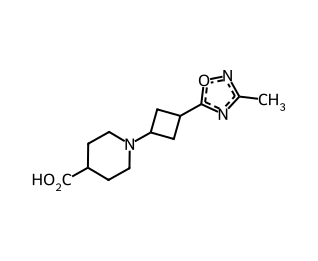 Cc1noc(C2CC(N3CCC(C(=O)O)CC3)C2)n1